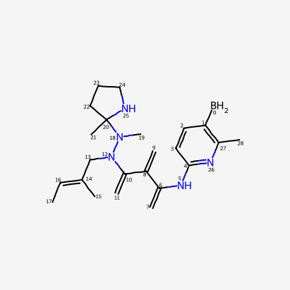 Bc1ccc(NC(=C)C(=C)C(=C)N(C/C(C)=C/C)N(C)C2(C)CCCN2)nc1C